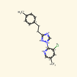 Cc1ccc(CCc2ncn(-c3ncc(C(F)(F)F)cc3Cl)n2)cc1